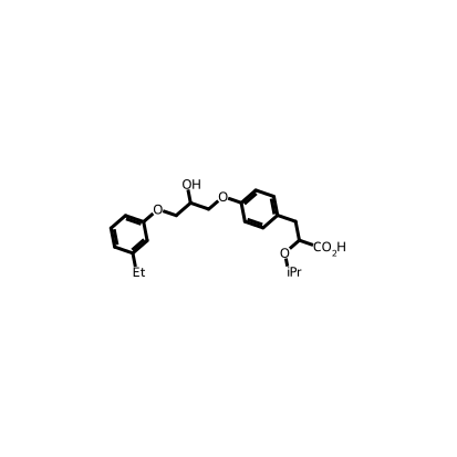 CCc1cccc(OCC(O)COc2ccc(CC(OC(C)C)C(=O)O)cc2)c1